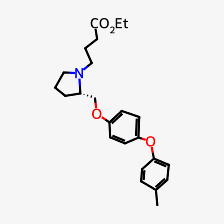 CCOC(=O)CCCN1CCC[C@H]1COc1ccc(Oc2ccc(C)cc2)cc1